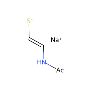 CC(=O)NC=C[S-].[Na+]